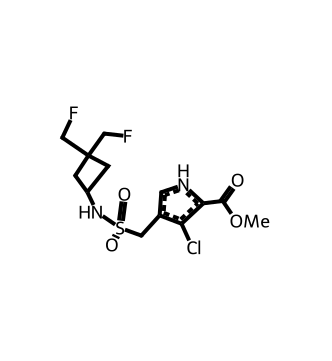 COC(=O)c1[nH]cc(CS(=O)(=O)NC2CC(CF)(CF)C2)c1Cl